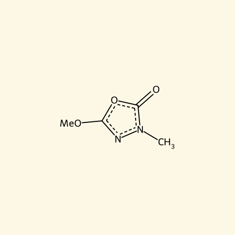 COc1nn(C)c(=O)o1